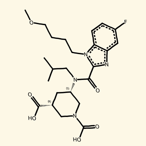 COCCCCn1c(C(=O)N(CC(C)C)[C@H]2C[C@@H](C(=O)O)CN(C(=O)O)C2)nc2cc(F)ccc21